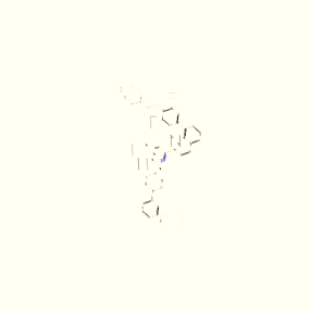 Cc1cccc(C2CCC(N/C=C(\C=N)c3ccc4cccc(-c5cc(F)c(CCC6CCOCC6)c(F)c5)c4n3)CC2)c1